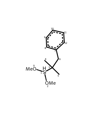 CO[SiH](OC)C(C)(C)Cc1ccccc1